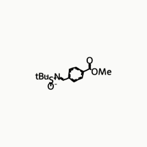 COC(=O)c1ccc(/C=N/[S@+]([O-])C(C)(C)C)cc1